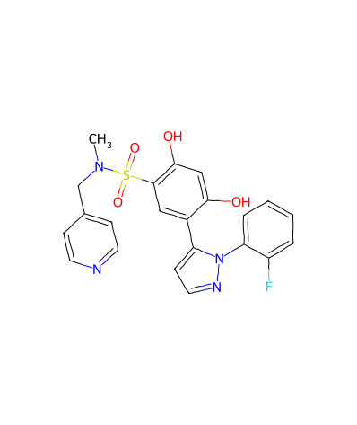 CN(Cc1ccncc1)S(=O)(=O)c1cc(-c2ccnn2-c2ccccc2F)c(O)cc1O